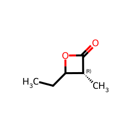 CCC1OC(=O)[C@@H]1C